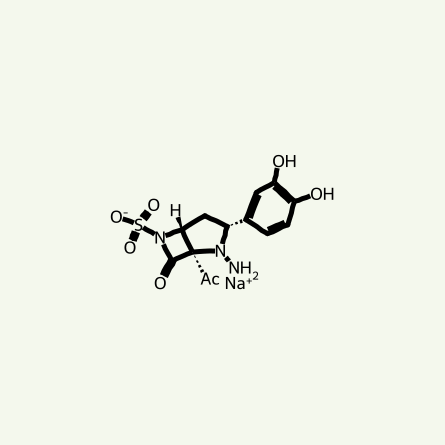 CC(=O)[C@]12C(=O)N(S(=O)(=O)[O-])[C@@H]1C[C@H](c1ccc(O)c(O)c1)N2N.[Na+]